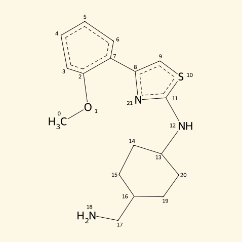 COc1ccccc1-c1csc(NC2CCC(CN)CC2)n1